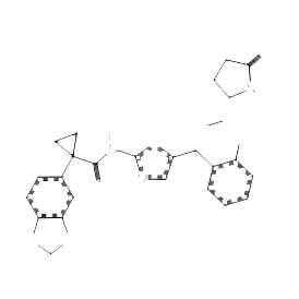 O=C1CC[C@@H](CO[C@@H](c2cnc(NC(=O)C3(c4ccc5c(c4)OCO5)CC3)s2)c2ccccc2Cl)N1